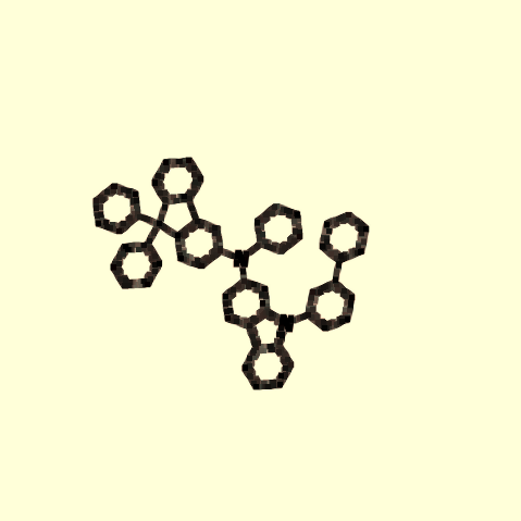 c1ccc(-c2cccc(-n3c4ccccc4c4ccc(N(c5ccccc5)c5ccc6c(c5)-c5ccccc5C6(c5ccccc5)c5ccccc5)cc43)c2)cc1